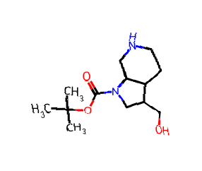 CC(C)(C)OC(=O)N1CC(CO)C2CCNCC21